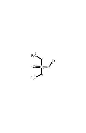 CCOP(=O)(CC(F)(F)F)CC(F)(F)F